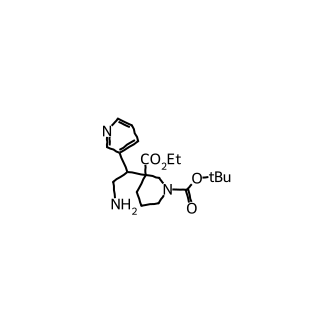 CCOC(=O)C1(C(CN)c2cccnc2)CCCN(C(=O)OC(C)(C)C)C1